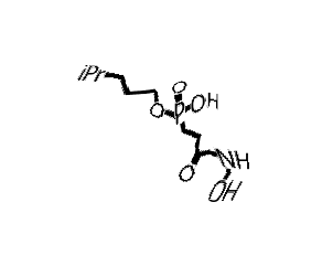 CC(C)CCCOP(=O)(O)CCC(=O)NO